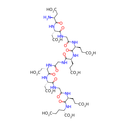 N[C@@H](CC(=O)O)C(=O)N[C@@H](CC(=O)O)C(=O)NCC(=O)N[C@@H](CCC(=O)O)C(=O)N[C@@H](CCC(=O)O)C(=O)NCC(=O)N[C@@H](CC(=O)O)C(=O)N[C@@H](CC(=O)O)C(=O)NCC(=O)N[C@@H](CCC(=O)O)C(=O)N[C@@H](CCC(=O)O)C(=O)O